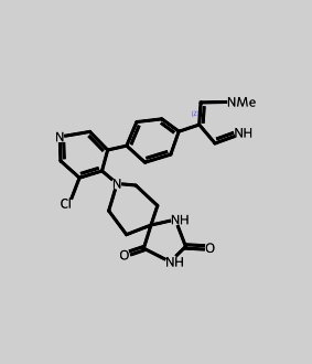 CN/C=C(\C=N)c1ccc(-c2cncc(Cl)c2N2CCC3(CC2)NC(=O)NC3=O)cc1